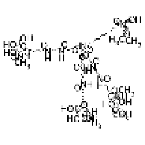 COC(CO)C(O)C(O)[C@H](NC(C)=O)OCCCCC(=O)NCCCNC(=O)CCOCC(COCCC(=O)NCCCNC(=O)CCCCOC1OC(CO)C(O)C(O)C1NC(C)=O)(COCCC(=O)NCCCNC(=O)CCCCOC1OC(CO)C(O)C(O)C1NC(C)=O)NC(=O)CCCCCCCCCCC(=O)N1C[C@H](O)C[C@H]1COC(C)C